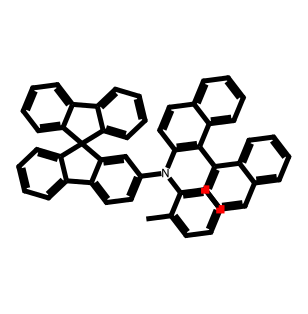 Cc1ccccc1N(c1ccc2c(c1)C1(c3ccccc3-c3ccccc31)c1ccccc1-2)c1ccc2ccccc2c1-c1cccc2ccccc12